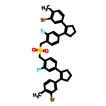 Cc1ccc(C2=C(c3ccc(CS(=O)(=O)Cc4ccc(C5=C(c6ccc(C)c(Br)c6)CCC5)cc4F)c(F)c3)CCC2)cc1Br